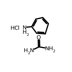 Cl.NC(N)=O.Nc1ccccc1